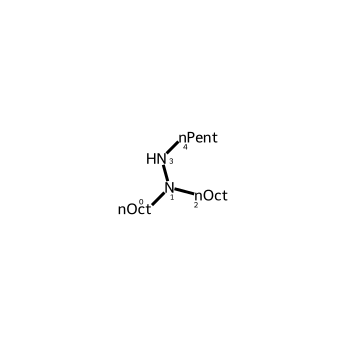 CCCCCCCCN(CCCCCCCC)NCCCCC